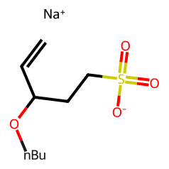 C=CC(CCS(=O)(=O)[O-])OCCCC.[Na+]